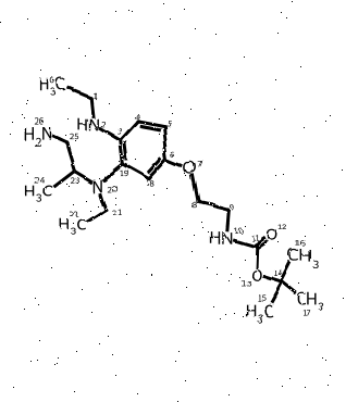 CCNc1ccc(OCCNC(=O)OC(C)(C)C)cc1N(CC)C(C)CN